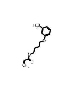 Bc1cccc(OCCCCOC(=O)C=C)c1